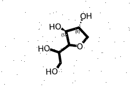 OCC(O)C1OC[C@@H](O)[C@@H]1O